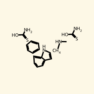 C.CNC.NC(O)=S.NC(O)=S.c1ccc2[nH]ccc2c1.c1ccccc1